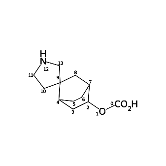 O=C(O)OC1CC2CCC1CC21CCNC1